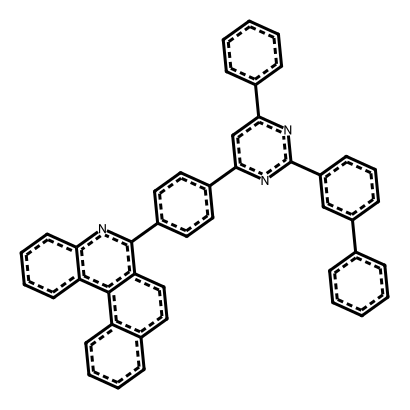 c1ccc(-c2cccc(-c3nc(-c4ccccc4)cc(-c4ccc(-c5nc6ccccc6c6c5ccc5ccccc56)cc4)n3)c2)cc1